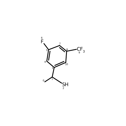 CC(S)c1cc(F)cc(C(F)(F)F)c1